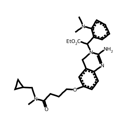 CCOC(=O)C(c1ccccc1N(C)C)N1Cc2cc(OCCCC(=O)N(C)CC3CC3)ccc2N=C1N